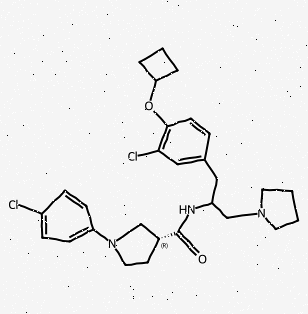 O=C(NC(Cc1ccc(OC2CCC2)c(Cl)c1)CN1CCCC1)[C@@H]1CCN(c2ccc(Cl)cc2)C1